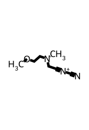 COCCN(C)CC#[N+]C#N